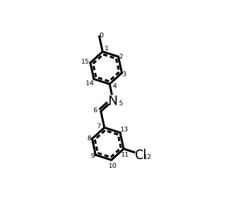 Cc1ccc(N=Cc2cccc(Cl)c2)cc1